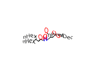 CCCCCCCCCCOC(=O)CCCN(CC(O)CC(CCCCCC)CCCCCC)OC(=O)CCCCC